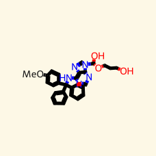 COc1ccc(C(Nc2ncnc3c2ncn3C(O)OCCCO)(c2ccccc2)c2ccccc2)cc1